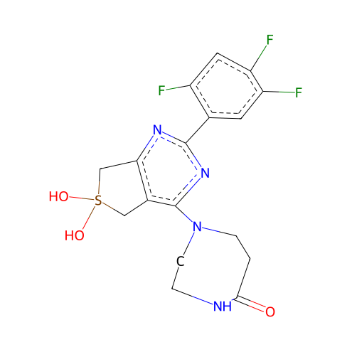 O=C1CCN(c2nc(-c3cc(F)c(F)cc3F)nc3c2CS(O)(O)C3)CCN1